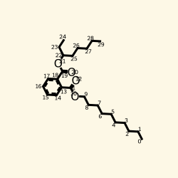 CCCCCCCCCCOC(=O)c1ccccc1C(=O)OC(CC)CCCCC